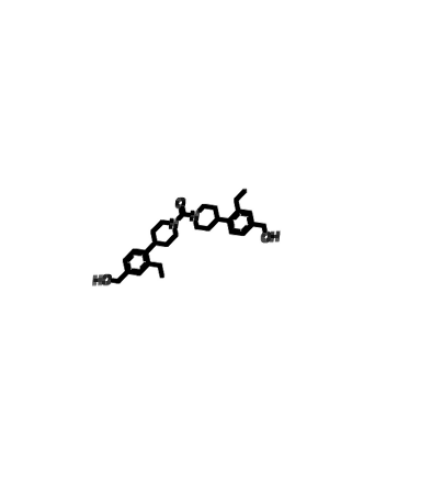 CCc1cc(CO)ccc1C1CCN(C(=O)N2CCC(c3ccc(CO)cc3CC)CC2)CC1